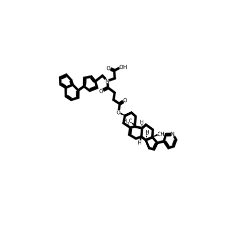 C[C@]12CC[C@H](OC(=O)CCC(=O)N(CC(=O)O)Cc3ccc(-c4cccc5ccccc45)cc3)CC1=CC[C@@H]1[C@@H]2CC[C@]2(C)C(c3cccnc3)=CC[C@@H]12